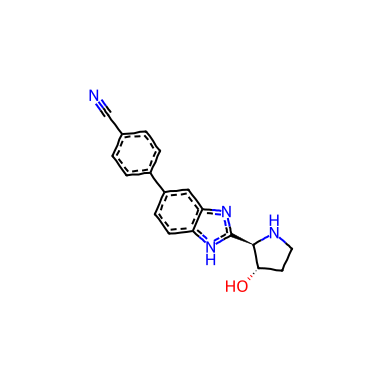 N#Cc1ccc(-c2ccc3[nH]c([C@H]4NCC[C@@H]4O)nc3c2)cc1